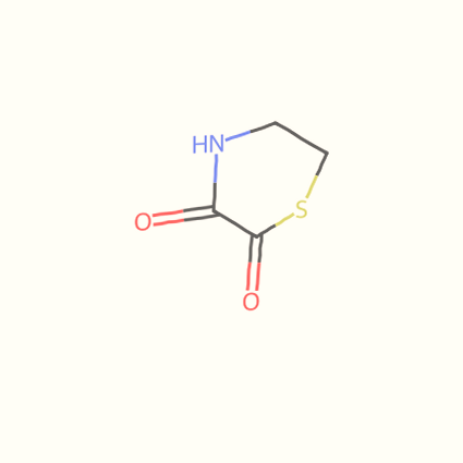 O=C1NCCSC1=O